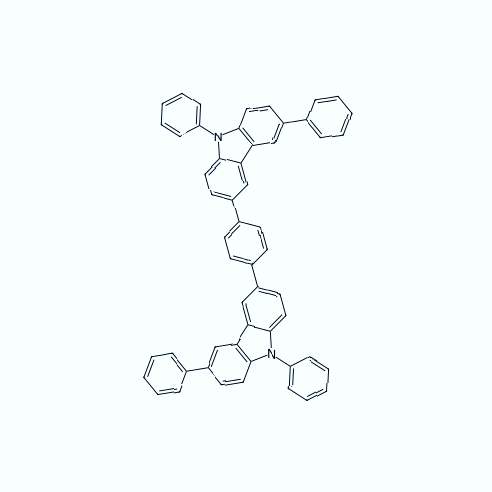 c1ccc(-c2ccc3c(c2)c2cc(-c4ccc(-c5ccc6c(c5)c5cc(-c7ccccc7)ccc5n6-c5ccccc5)cc4)ccc2n3-c2ccccc2)cc1